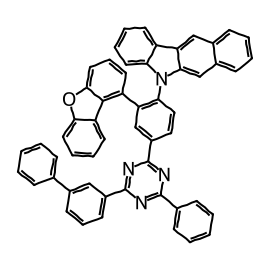 c1ccc(-c2cccc(-c3nc(-c4ccccc4)nc(-c4ccc(-n5c6ccccc6c6cc7ccccc7cc65)c(-c5cccc6oc7ccccc7c56)c4)n3)c2)cc1